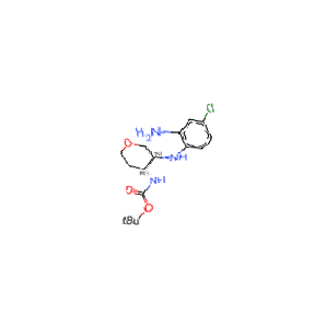 CC(C)(C)OC(=O)N[C@@H]1CCOC[C@H]1Nc1ccc(Cl)cc1N